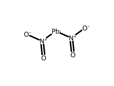 O=[N+]([O-])[Pb][N+](=O)[O-]